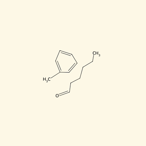 CCCCCC=O.Cc1ccccc1